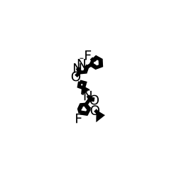 Cn1nc(OC2CC3(C2)CN(C(=O)c2ccc(F)cc2OC2CC2)C3)cc1-c1ccccc1F